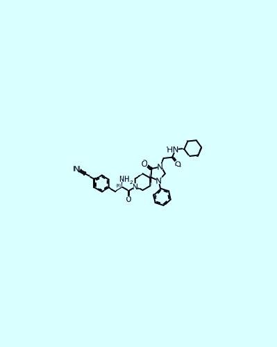 N#Cc1ccc(C[C@@H](N)C(=O)N2CCC3(CC2)C(=O)N(CC(=O)NC2CCCCC2)CN3c2ccccc2)cc1